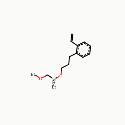 C=Cc1ccccc1CCCO[SiH](CC)COCC